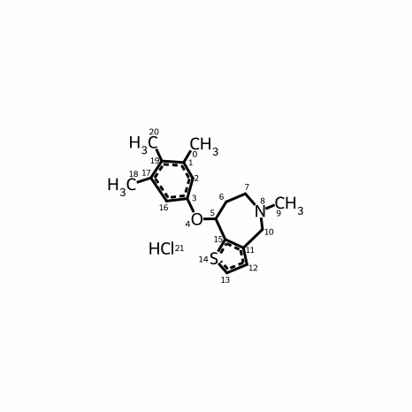 Cc1cc(OC2CCN(C)Cc3ccsc32)cc(C)c1C.Cl